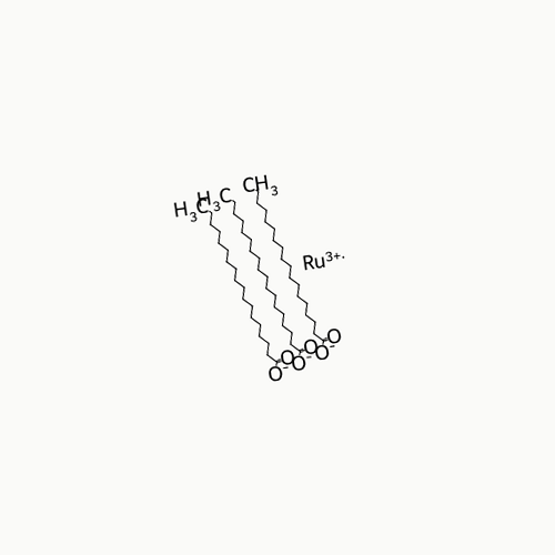 CCCCCCCCCCCCCCCCCC(=O)[O-].CCCCCCCCCCCCCCCCCC(=O)[O-].CCCCCCCCCCCCCCCCCC(=O)[O-].[Ru+3]